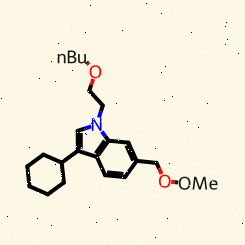 CCCCOCCn1cc(C2CCCCC2)c2ccc(COOC)cc21